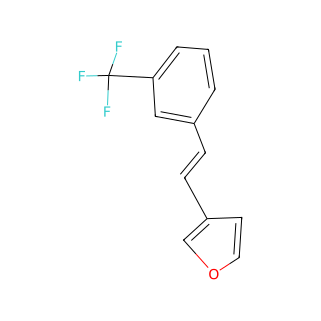 FC(F)(F)c1cccc(/C=C/c2ccoc2)c1